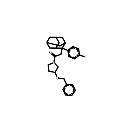 O=C(CC1(c2ccc(F)cc2)C2CC3CC(C2)CC1C3)N1CCC(OCc2ccccc2)C1